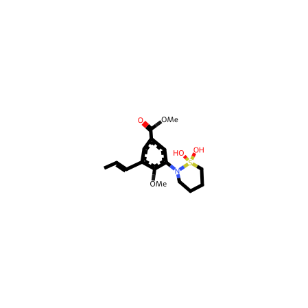 CC=Cc1cc(C(=O)OC)cc(N2CCCCS2(O)O)c1OC